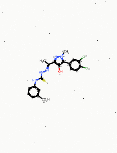 C/C(=N\NC(=S)Nc1cccc(C(=O)O)c1)c1nn(C)c(-c2ccc(Cl)c(Cl)c2)c1O